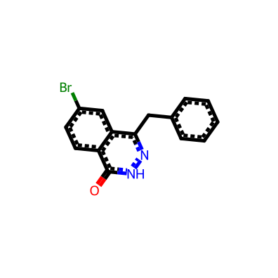 O=c1[nH]nc(Cc2ccccc2)c2cc(Br)ccc12